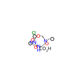 O=C1N[C@H](Cc2ccccc2)C(=O)N[C@H](C(=O)O)CCC(=O)N(CCc2ccccc2)C/C=C/COc2cc(Cl)ccc21